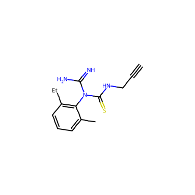 C#CCNC(=S)N(C(=N)N)c1c(C)cccc1CC